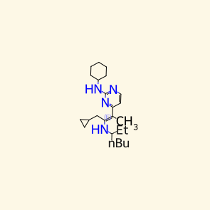 CCCCC(CC)N/C(CC1CC1)=C(\C)c1ccnc(NC2CCCCC2)n1